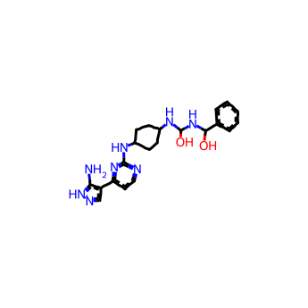 Nc1[nH]ncc1-c1ccnc(NC2CCC(NC(O)NC(O)c3ccccc3)CC2)n1